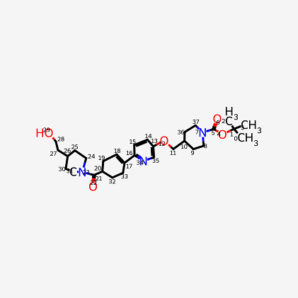 CC(C)(C)OC(=O)N1CCC(COc2ccc(C3=CCC(C(=O)N4CCC(CCO)CC4)CC3)nc2)CC1